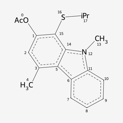 CC(=O)Oc1cc(C)c2c3ccccc3n(C)c2c1SC(C)C